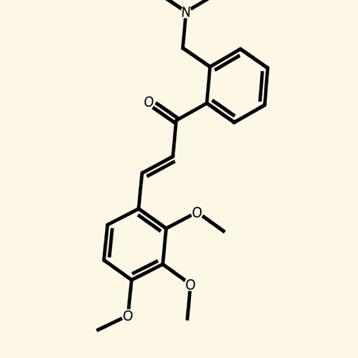 COc1ccc(C=CC(=O)c2ccccc2CN(C)C)c(OC)c1OC